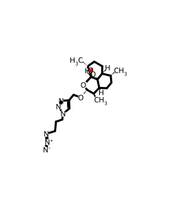 C[C@H]1[C@H](OCc2cn(CCCN=[N+]=[N-])nn2)O[C@@H]2O[C@]3(C)CC[C@H]4[C@H](C)CC[C@@H]1[C@@]24OO3